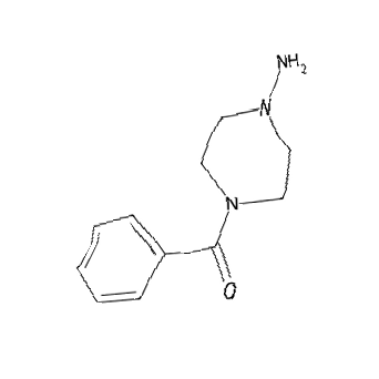 NN1CCN(C(=O)c2ccccc2)CC1